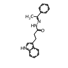 C/C(=N\NC(=O)CCc1c[nH]c2ccccc12)c1ccccc1